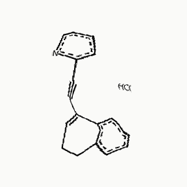 C(#Cc1ccccn1)C1=CCCc2ccccc21.Cl